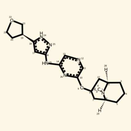 CN1[C@@H]2CCC[C@H]1CC(Oc1cncc(Nc3cc([C@H]4CCOC4)[nH]n3)n1)C2